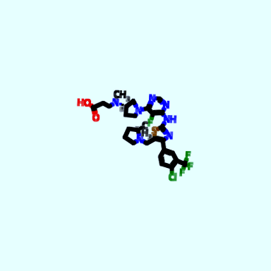 C[C@@H]1CCCN1Cc1sc(Nc2ncnc(N3CC[C@H](N(C)CCC(=O)O)C3)c2F)nc1-c1ccc(Cl)c(C(F)(F)F)c1